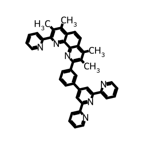 Cc1c(-c2cccc(-c3cc(-c4ccccn4)nc(-c4ccccn4)c3)c2)nc2c(ccc3c(C)c(C)c(-c4ccccn4)nc32)c1C